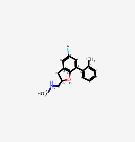 Cc1ccccc1-c1cc(F)cc2c1OC(CNC(=O)O)C2